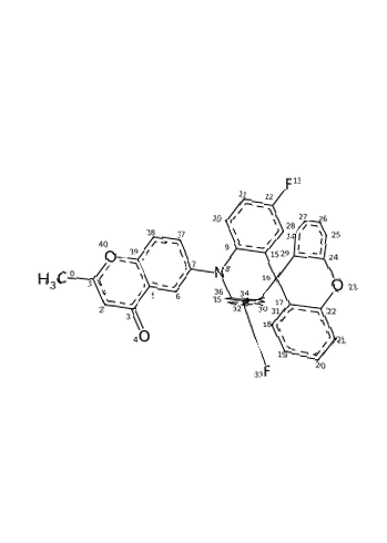 Cc1cc(=O)c2cc(N3c4ccc(F)cc4C4(c5ccccc5Oc5ccccc54)c4cc(F)ccc43)ccc2o1